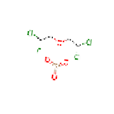 ClC(Cl)COCC(Cl)Cl.O=S(=O)=O